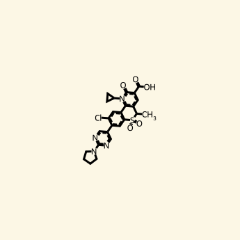 CC1c2cc(C(=O)O)c(=O)n(C3CC3)c2-c2cc(Cl)c(-c3cnc(N4CCCC4)nc3)cc2S1(=O)=O